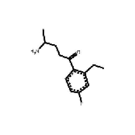 CCc1cc(F)ccc1C(=O)CCC(C)N